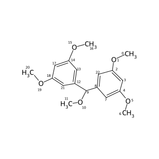 COc1cc(OC)cc(C(OC)c2cc(OC)cc(OC)c2)c1